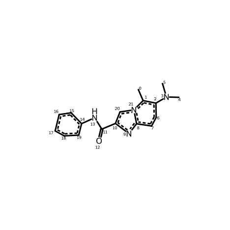 Cc1c(N(C)C)ccc2nc(C(=O)Nc3ccccc3)cn12